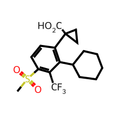 CS(=O)(=O)c1ccc(C2(C(=O)O)CC2)c(C2CCCCC2)c1C(F)(F)F